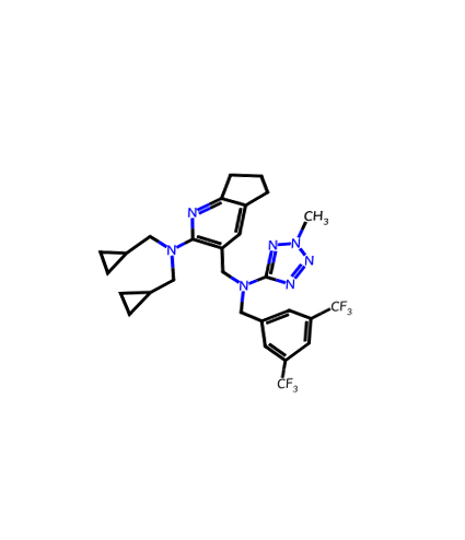 Cn1nnc(N(Cc2cc(C(F)(F)F)cc(C(F)(F)F)c2)Cc2cc3c(nc2N(CC2CC2)CC2CC2)CCC3)n1